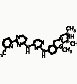 COc1ccc(Nc2nccc(Nc3ccnc(-c4cccc(C)n4)n3)n2)cc1CN1C[C@@H](C)N[C@@H](C)C1